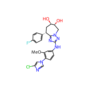 COc1cc(Nc2nc3n(n2)C[C@H](O)[C@H](O)C[C@H]3c2ccc(F)cc2)ccc1-n1cnc(Cl)c1